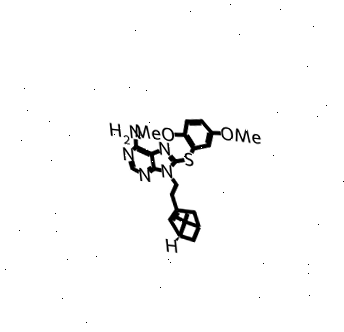 COc1ccc(OC)c(Sc2nc3c(N)ncnc3n2CCC2=C[C@@H]3CC(C2)C3(C)C)c1